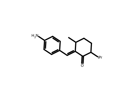 CC1CCC(C(C)C)C(=O)C1=Cc1ccc(N)cc1